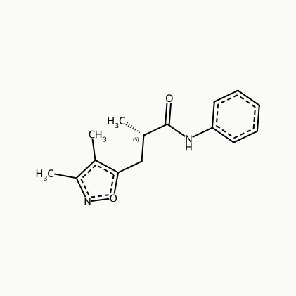 Cc1noc(C[C@H](C)C(=O)Nc2ccccc2)c1C